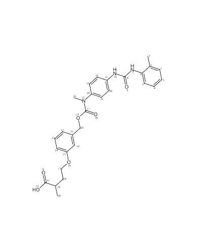 Cc1ccccc1NC(=O)Nc1ccc(N(C)C(=O)OCc2cccc(OCCC(C)C(=O)O)c2)cc1